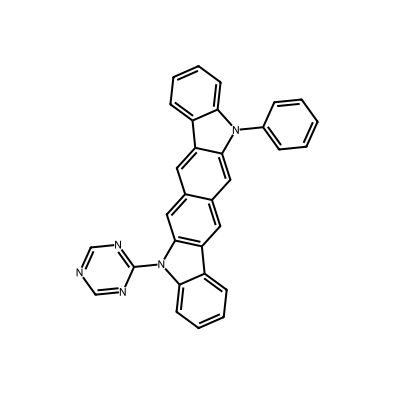 c1ccc(-n2c3ccccc3c3cc4cc5c(cc4cc32)c2ccccc2n5-c2ncncn2)cc1